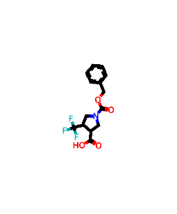 O=C(O)C1CN(C(=O)OCc2ccccc2)CC1C(F)(F)F